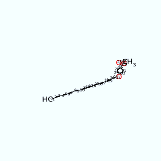 C#CC#CC#CC#CC#CC#CC#CC#CC#CC#CC#COc1ccc(C(=O)OC)cc1